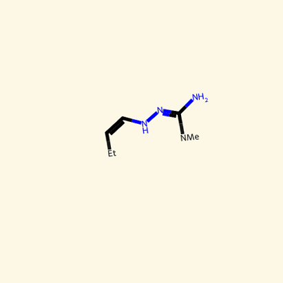 CC/C=C\N/N=C(/N)NC